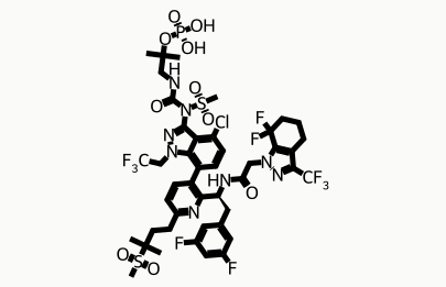 CC(C)(CNC(=O)N(c1nn(CC(F)(F)F)c2c(-c3ccc(CCC(C)(C)S(C)(=O)=O)nc3[C@H](Cc3cc(F)cc(F)c3)NC(=O)Cn3nc(C(F)(F)F)c4c3C(F)(F)CCC4)ccc(Cl)c12)S(C)(=O)=O)OP(=O)(O)O